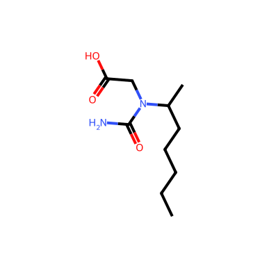 CCCCCC(C)N(CC(=O)O)C(N)=O